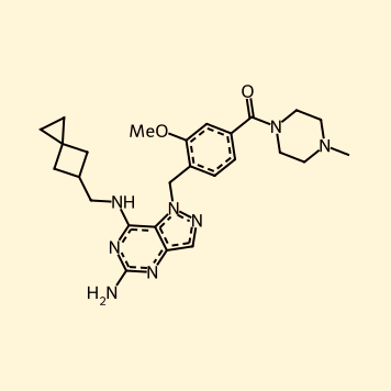 COc1cc(C(=O)N2CCN(C)CC2)ccc1Cn1ncc2nc(N)nc(NCC3CC4(CC4)C3)c21